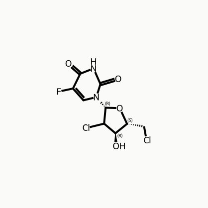 O=c1[nH]c(=O)n([C@@H]2O[C@H](CCl)[C@@H](O)C2Cl)cc1F